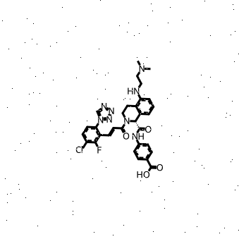 CN(C)CCNc1cccc2c1CCN(C(=O)/C=C/c1c(-n3cnnn3)ccc(Cl)c1F)[C@H]2C(=O)Nc1ccc(C(=O)O)cc1